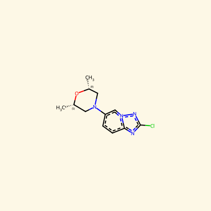 C[C@@H]1CN(c2ccc3nc(Cl)nn3c2)C[C@H](C)O1